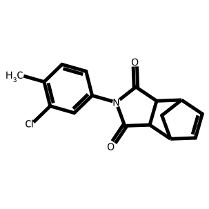 Cc1ccc(N2C(=O)C3C4C=CC(C4)C3C2=O)cc1Cl